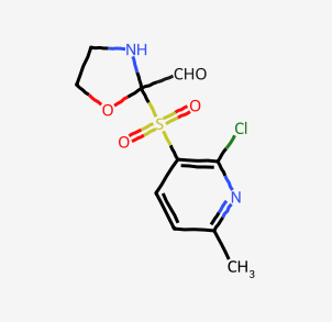 Cc1ccc(S(=O)(=O)C2(C=O)NCCO2)c(Cl)n1